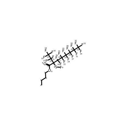 CCCCOC(=O)C(SF)(C(F)(F)C(F)(F)F)C(F)(F)C(F)(F)C(F)(F)C(F)(F)C(F)(F)C(F)(F)F